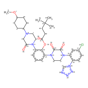 COC1CCC(N2CCN(c3cccc(N4CCN(c5cc(Cl)ccc5-n5cnnn5)C(=O)C4=O)c3OC(=O)CCC(C)(C)C)C(=O)C2)CC1